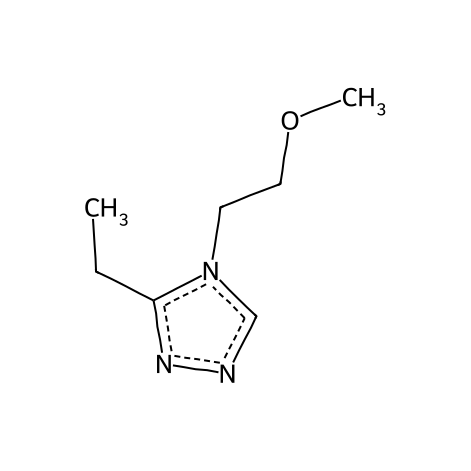 CCc1nncn1CCOC